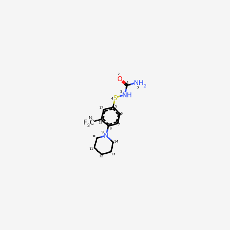 NC(=O)NSc1ccc(N2CCCCC2)c(C(F)(F)F)c1